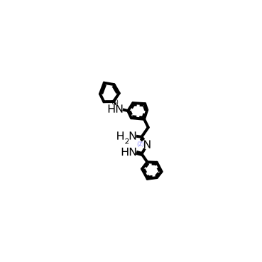 N=C(/N=C(\N)Cc1cccc(N[C@@H]2C=CC=CC2)c1)c1ccccc1